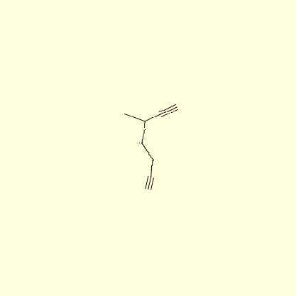 C#CC[CH]C(C)C#C